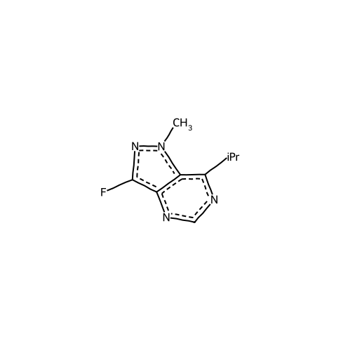 CC(C)c1ncnc2c(F)nn(C)c12